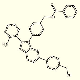 Nc1ncccc1-c1nc2ccc(-c3ccc(CO)cc3)nc2n1-c1ccc(CNC(=O)c2ccccc2)cc1